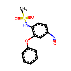 CS(=O)(=O)Nc1ccc(N=O)cc1Oc1ccccc1